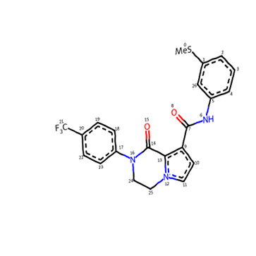 CSc1cccc(NC(=O)c2ccn3c2C(=O)N(c2ccc(C(F)(F)F)cc2)CC3)c1